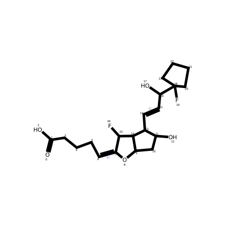 O=C(O)CCC/C=C1/OC2CC(O)C(/C=C/C(O)C3(F)CCCC3)C2C1F